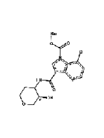 CC(C)(C)OC(=O)n1cc(C(=O)NC2CCOC[C@@H]2O)c2nccc(Cl)c21